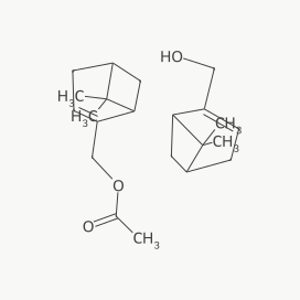 CC(=O)OCC1=CCC2CC1C2(C)C.CC1(C)C2CC=C(CO)C1C2